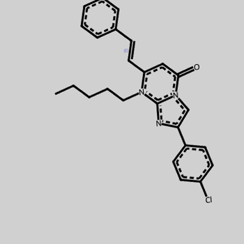 CCCCCn1c(/C=C/c2ccccc2)cc(=O)n2cc(-c3ccc(Cl)cc3)nc12